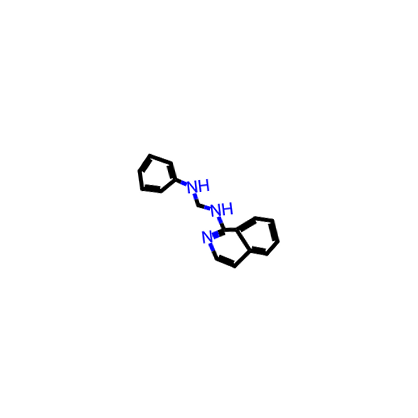 c1ccc(NCNc2nccc3ccccc23)cc1